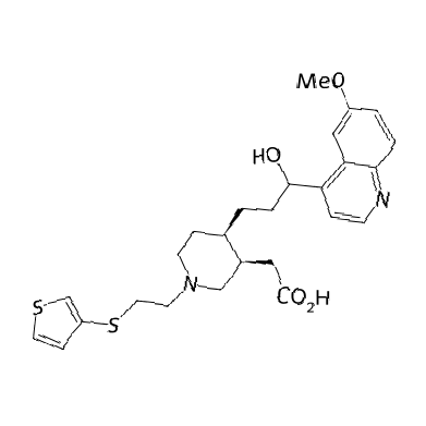 COc1ccc2nccc(C(O)CC[C@@H]3CCN(CCSc4ccsc4)C[C@@H]3CC(=O)O)c2c1